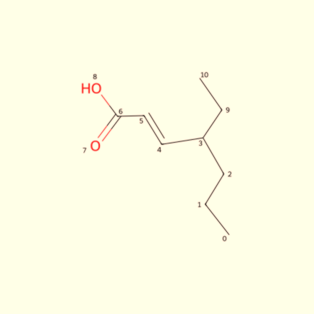 CCCC(C=CC(=O)O)CC